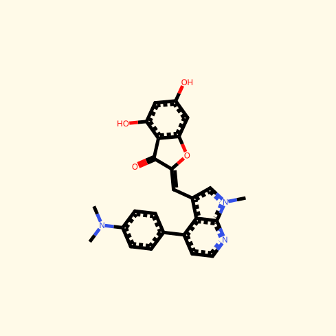 CN(C)c1ccc(-c2ccnc3c2c(C=C2Oc4cc(O)cc(O)c4C2=O)cn3C)cc1